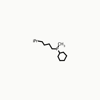 CC(C)CCCCP(C)C1CCCCC1